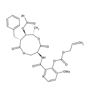 C=CCOC(=O)Oc1c(OC)ccnc1C(=O)N[C@H]1COC(=O)[C@H](Cc2ccccc2)[C@@H](OC(=O)C(C)C)[C@H](C)OC1=O